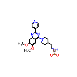 COc1cc2nc(-c3ccncc3)nc(N3CCC(CCN[SH](=O)=O)CC3)c2cc1OC